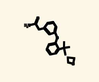 C1COC1.CC(C)(C)c1ccccc1Oc1cccc(CC(N)=O)c1